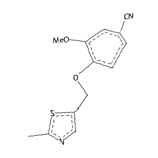 COc1cc(C#N)ccc1OCc1cnc(C)s1